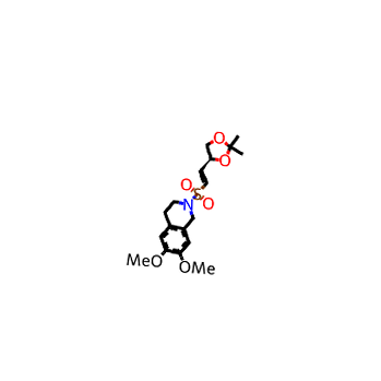 COc1cc2c(cc1OC)CN(S(=O)(=O)/C=C/[C@H]1COC(C)(C)O1)CC2